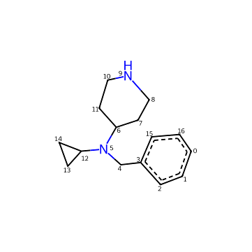 c1ccc(CN(C2CCNCC2)C2CC2)cc1